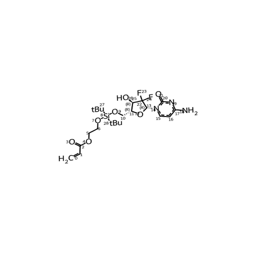 C=CC(=O)OCCO[Si](OC[C@H]1O[C@@H](n2ccc(N)nc2=O)C(F)(F)[C@@H]1O)(C(C)(C)C)C(C)(C)C